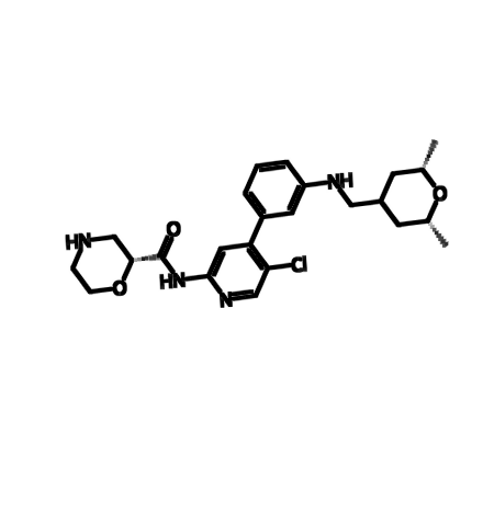 C[C@@H]1CC(CNc2cccc(-c3cc(NC(=O)[C@H]4CNCCO4)ncc3Cl)c2)C[C@H](C)O1